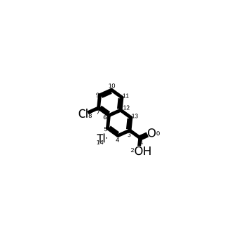 O=C(O)c1ccc2c(Cl)cccc2c1.[Tl]